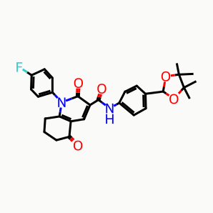 CC1(C)OC(c2ccc(NC(=O)c3cc4c(n(-c5ccc(F)cc5)c3=O)CCCC4=O)cc2)OC1(C)C